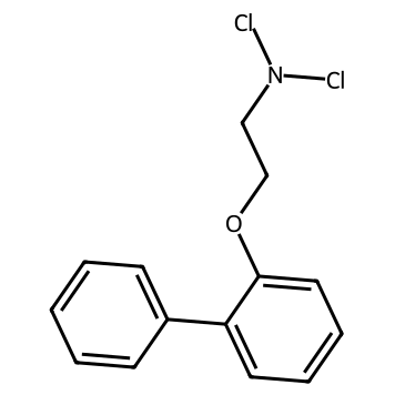 ClN(Cl)CCOc1ccccc1-c1ccccc1